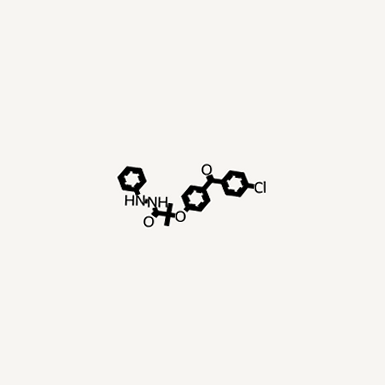 CC(C)(Oc1ccc(C(=O)c2ccc(Cl)cc2)cc1)C(=O)NNc1ccccc1